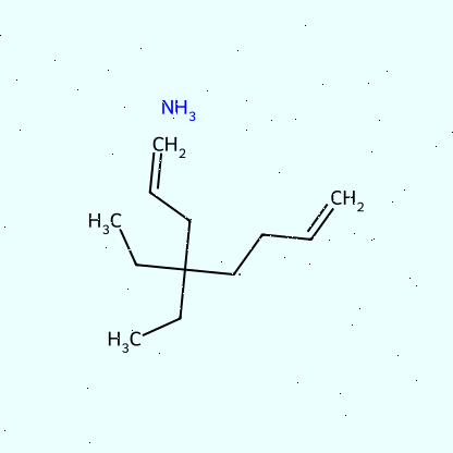 C=CC[CH]C(CC)(CC)CC=C.N